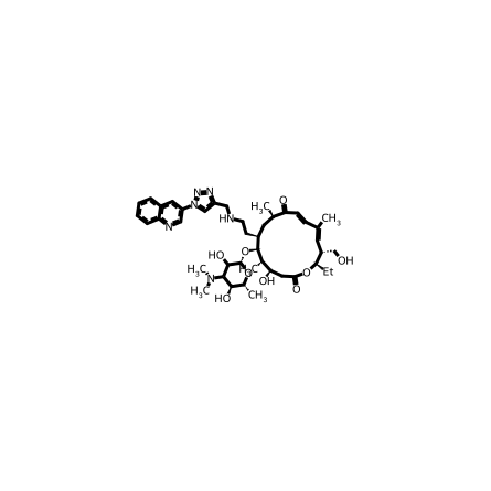 CC[C@H]1OC(=O)C[C@@H](O)[C@H](C)[C@@H](O[C@@H]2O[C@H](C)[C@@H](O)C(N(C)C)C2O)[C@@H](CCNCc2cn(-c3cnc4ccccc4c3)nn2)C[C@@H](C)C(=O)/C=C/C(C)=C/[C@@H]1CO